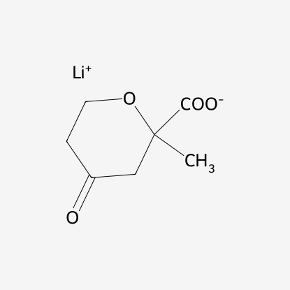 CC1(C(=O)[O-])CC(=O)CCO1.[Li+]